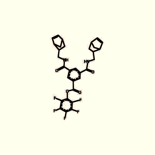 O=C(NCC1CC2C=CC1C2)c1cc(C(=O)NCC2CC3C=CC2C3)cc(C(=O)Oc2c(F)c(F)c(F)c(F)c2F)c1